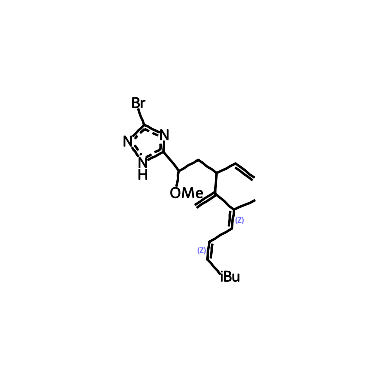 C=CC(CC(OC)c1nc(Br)n[nH]1)C(=C)/C(C)=C\C=C/C(C)CC